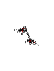 Cc1ncsc1-c1ccc(CNC(=O)[C@@H]2C[C@@H](O)CN2C(=O)C(NC(=O)CCCCCOCCOCCOCCCCCCOc2ccc(F)c(CNC(=O)c3cccc(NC4(C(=N)NC(=N)c5ccncc5)CCN(C(=O)OC(C)(C)C)CC4)c3)c2)C(C)(C)C)cc1